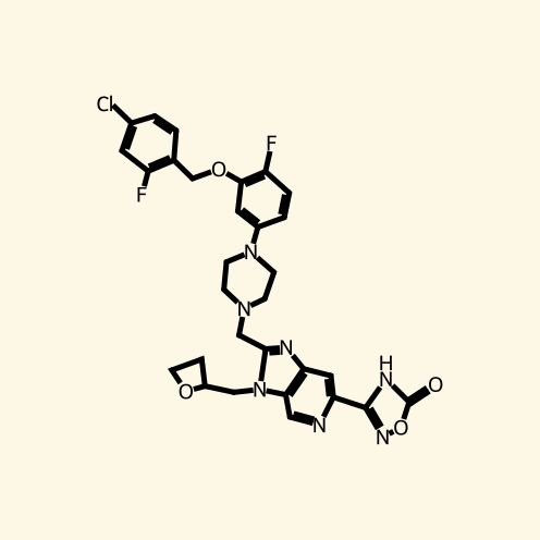 O=c1[nH]c(-c2cc3nc(CN4CCN(c5ccc(F)c(OCc6ccc(Cl)cc6F)c5)CC4)n(CC4CCO4)c3cn2)no1